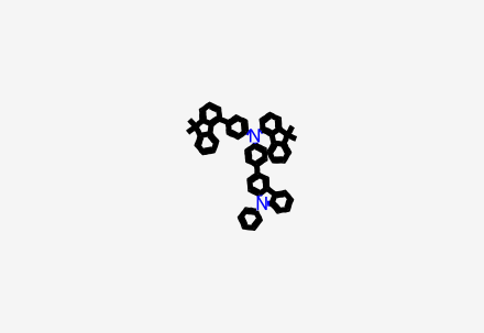 CC1(C)c2ccccc2-c2c(-c3ccc(N(c4ccc(-c5ccc6c(c5)c5ccccc5n6-c5ccccc5)cc4)c4cccc5c4-c4ccccc4C5(C)C)cc3)cccc21